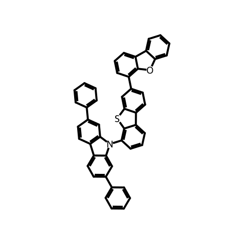 c1ccc(-c2ccc3c4ccc(-c5ccccc5)cc4n(-c4cccc5c4sc4cc(-c6cccc7c6oc6ccccc67)ccc45)c3c2)cc1